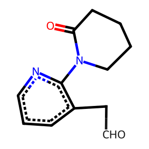 O=CCc1cccnc1N1CCCCC1=O